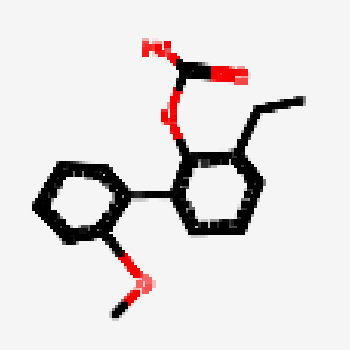 CCc1cccc(-c2ccccc2OC)c1OC(=O)O